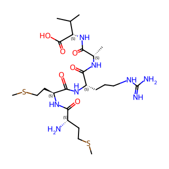 CSCC[C@H](NC(=O)[C@@H](N)CCSC)C(=O)N[C@@H](CCCNC(=N)N)C(=O)N[C@@H](C)C(=O)N[C@H](C(=O)O)C(C)C